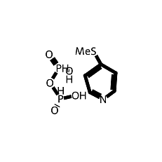 CSc1ccncc1.O=[PH](O)O[PH](=O)O